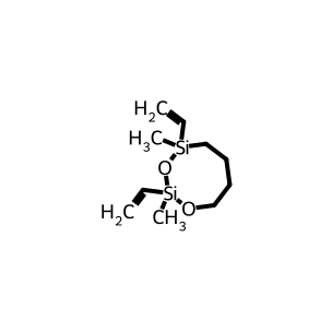 C=C[Si]1(C)CCCCO[Si](C)(C=C)O1